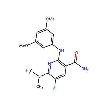 COc1cc(Nc2nc(N(C)C)c(F)cc2C(N)=O)cc(OC)c1